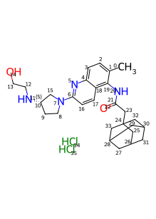 Cc1ccc2nc(N3CC[C@H](NCCO)C3)ccc2c1NC(=O)CC12CC3CC(CC(C3)C1)C2.Cl.Cl